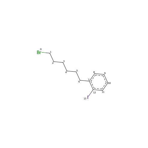 BrCCCCCCc1ccccc1I